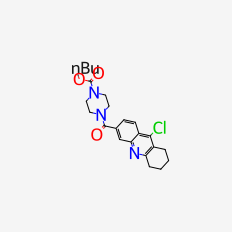 CCCCOC(=O)N1CCN(C(=O)c2ccc3c(Cl)c4c(nc3c2)CCCC4)CC1